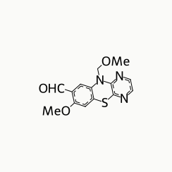 COCN1c2cc(C=O)c(OC)cc2Sc2nccnc21